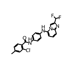 Cc1ccc(C(=O)Nc2ccc(Nc3cccc4nc(C(F)F)cn34)cc2)c(Cl)c1